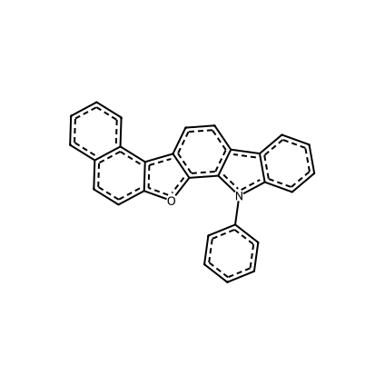 c1ccc(-n2c3ccccc3c3ccc4c(oc5ccc6ccccc6c54)c32)cc1